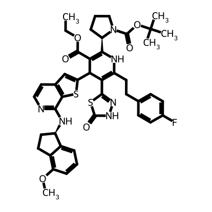 CCOC(=O)C1=C([C@H]2CCCN2C(=O)OC(C)(C)C)NC(CCc2ccc(F)cc2)=C(c2n[nH]c(=O)s2)C1c1cc2ccnc(N[C@@H]3CCc4c(OC)cccc43)c2s1